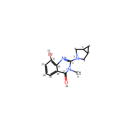 CCn1c(N2CC3CC3C2)nc2c(Br)cccc2c1=O